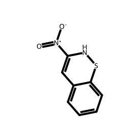 O=[N+]([O-])C1=Cc2ccccc2SN1